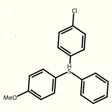 COc1ccc([SH](c2ccccc2)c2ccc(Cl)cc2)cc1